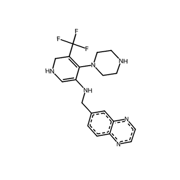 FC(F)(F)C1=C(N2CCNCC2)C(NCc2ccc3nccnc3c2)=CNC1